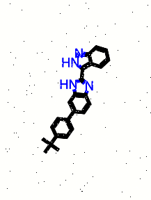 CC(C)(C)c1ccc(-c2ccc3nc(-c4[nH]nc5ccccc45)[nH]c3c2)cc1